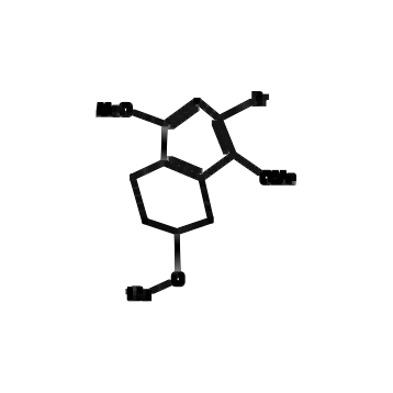 COc1cc(Br)c(OC)c2c1CCC(OC(C)(C)C)C2